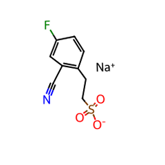 N#Cc1cc(F)ccc1CCS(=O)(=O)[O-].[Na+]